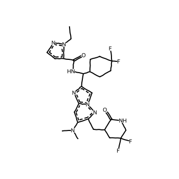 CCn1nccc1C(=O)NC(c1cn2nc(CC3CC(F)(F)CNC3=O)c(N(C)C)cc2n1)C1CCC(F)(F)CC1